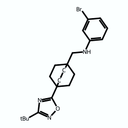 CC(C)(C)c1noc(C23CCC(CNc4cccc(Br)c4)(CC2)CC3)n1